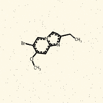 CCc1cn2cc(Br)c(OC)cc2n1